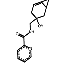 O=C(NCC1(O)CC=C2CC2C1)c1ccccn1